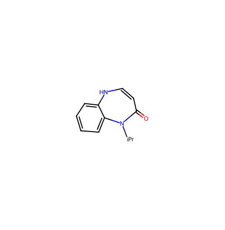 CC(C)N1C(=O)C=CNc2ccccc21